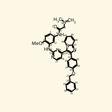 COc1ccc(NC(=O)CN(C)C)cc1Nc1nccc(-c2c(-c3ccc(OCc4ccccc4)cc3)nc3ccccn23)n1